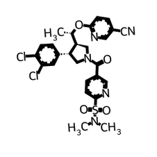 C[C@H](Oc1ccc(C#N)cn1)[C@H]1CN(C(=O)c2ccc(S(=O)(=O)N(C)C)nc2)C[C@@H]1c1ccc(Cl)c(Cl)c1